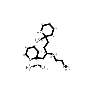 C[SiH](C)C1(CC(CCC2([SiH3])CCCCO2)NCCN)CCCCO1